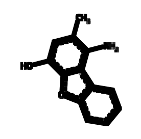 Cc1cc(O)c2oc3ccccc3c2c1N